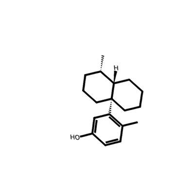 Cc1ccc(O)cc1[C@@]12CCCC[C@H]1[C@@H](C)CCC2